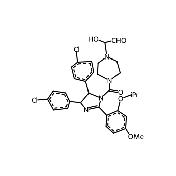 COc1ccc(C2=NC(c3ccc(Cl)cc3)C(c3ccc(Cl)cc3)N2C(=O)N2CCN(C(O)C=O)CC2)c(OC(C)C)c1